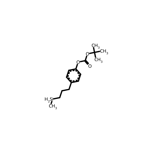 C[SiH2]CCCc1ccc(OC(=O)OC(C)(C)C)cc1